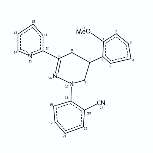 COc1ccccc1C1CC(c2ccccn2)=NN(c2ccccc2C#N)C1